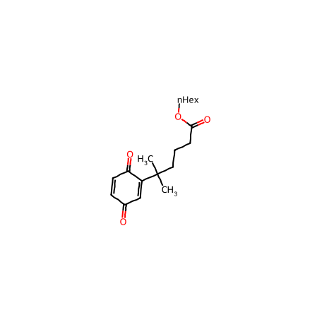 CCCCCCOC(=O)CCCC(C)(C)C1=CC(=O)C=CC1=O